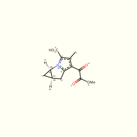 COC(=O)C(=O)c1c(C)c(C(=O)O)n2c1C[C@H]1C[C@H]12